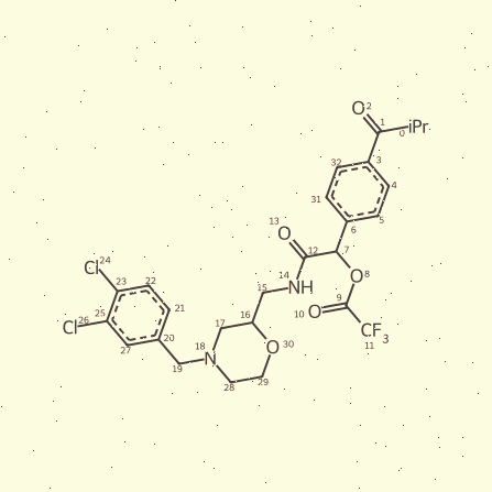 CC(C)C(=O)c1ccc(C(OC(=O)C(F)(F)F)C(=O)NCC2CN(Cc3ccc(Cl)c(Cl)c3)CCO2)cc1